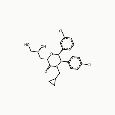 O=C1[C@H](C[C@H](O)CO)O[C@@H](c2cccc(Cl)c2)[C@@H](c2ccc(Cl)cc2)N1CC1CC1